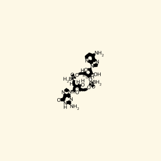 BP1(=O)C[C@@H]2[C@H](O)[C@@H](COP(B)(=O)O[C@H]3[C@@H](O)[C@H](n4cnc5c(N)ccnc54)O[C@@H]3CO1)O[C@H]2n1cnc2c(=O)[nH]c(N)nc21